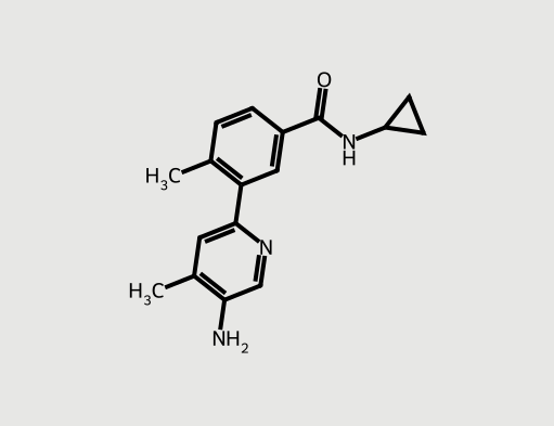 Cc1cc(-c2cc(C(=O)NC3CC3)ccc2C)ncc1N